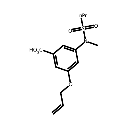 C=CCOc1cc(C(=O)O)cc(N(C)S(=O)(=O)CCC)c1